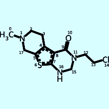 CN1CCc2c(sc3c2C(=O)N(CCCl)CN3)C1